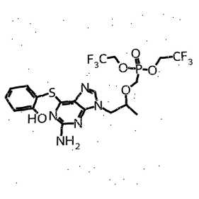 CC(Cn1cnc2c(Sc3ccccc3O)nc(N)nc21)OCP(=O)(OCC(F)(F)F)OCC(F)(F)F